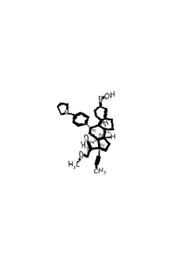 CC#C[C@]1(C(=O)COC)CC[C@H]2[C@@H]3CCC4=CC(=NO)CCC4=C3[C@@H](c3ccc(N4CCCC4)cc3)C[C@@]21C